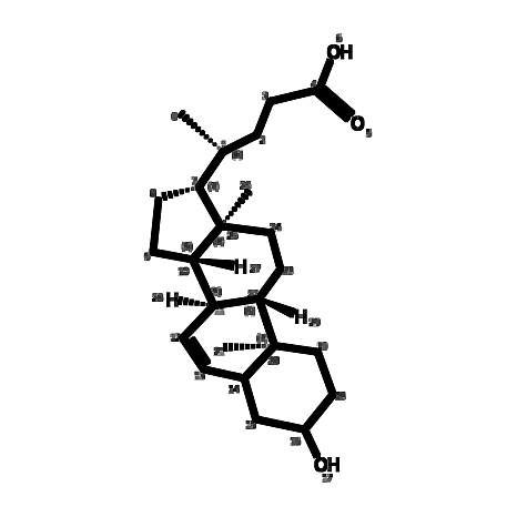 C[C@H](CCC(=O)O)[C@H]1CC[C@H]2[C@@H]3C=CC4CC(O)CC[C@]4(C)[C@H]3CC[C@]12C